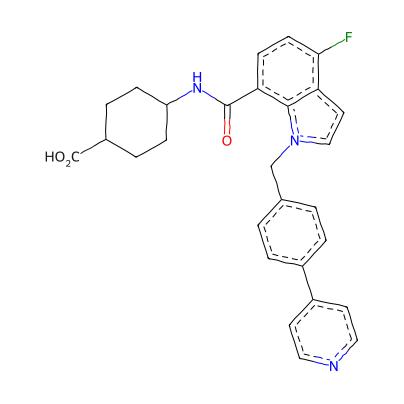 O=C(NC1CCC(C(=O)O)CC1)c1ccc(F)c2ccn(Cc3ccc(-c4ccncc4)cc3)c12